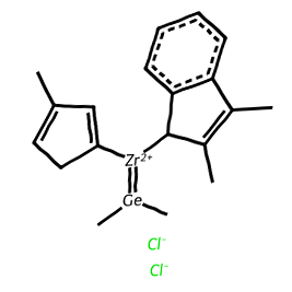 CC1=CC[C]([Zr+2]([CH]2C(C)=C(C)c3ccccc32)=[Ge]([CH3])[CH3])=C1.[Cl-].[Cl-]